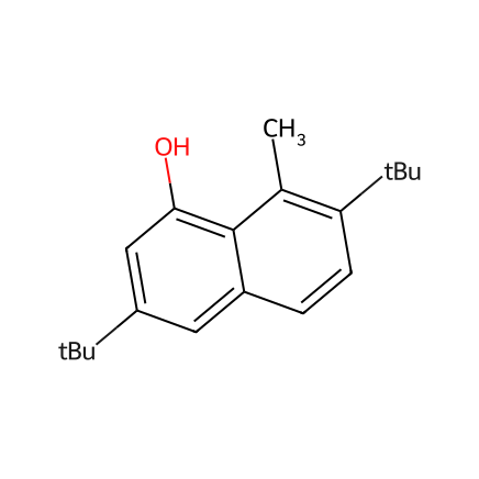 Cc1c(C(C)(C)C)ccc2cc(C(C)(C)C)cc(O)c12